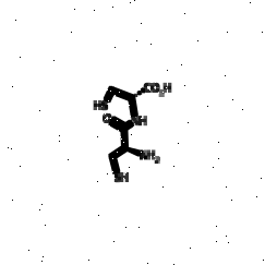 N[C@@H](CS)C(=O)N[C@H](CS)C(=O)O